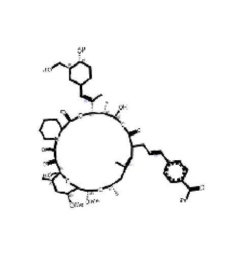 CO[C@H]1C[C@@H](C)C/C(C)=C/C(C/C=C/c2ccc(C(=O)C(C)C)cc2)C(=O)C[C@H](O)[C@@H](C)[C@@H](/C(C)=C/C2CC[C@@H](O)[C@H](CO)C2)OC(=O)C2CCCCN2C(=O)C(=O)[C@]2(O)OC1[C@@H](OC)C[C@H]2C